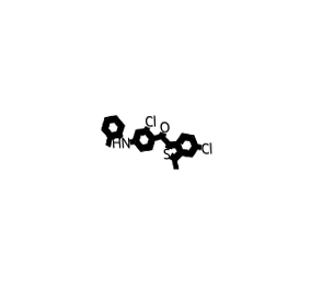 Cc1ccccc1Nc1ccc(C(=O)c2sc(C)c3cc(Cl)ccc23)c(Cl)c1